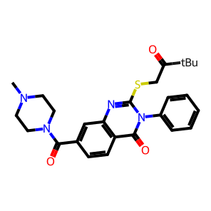 CN1CCN(C(=O)c2ccc3c(=O)n(-c4ccccc4)c(SCC(=O)C(C)(C)C)nc3c2)CC1